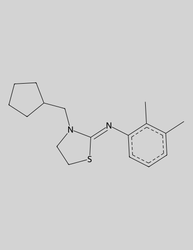 Cc1cccc(N=C2SCCN2CC2CCCC2)c1C